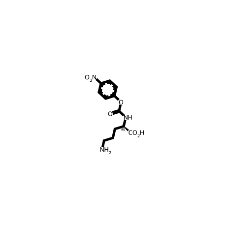 NCCC[C@@H](NC(=O)Oc1ccc([N+](=O)[O-])cc1)C(=O)O